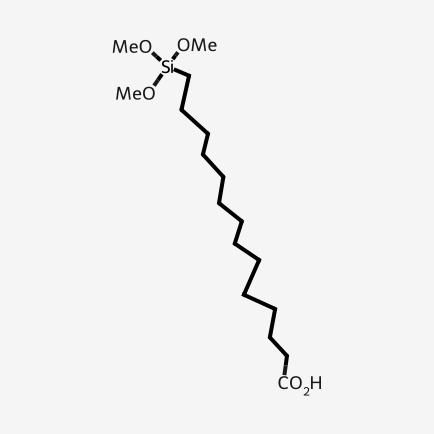 CO[Si](CCCCCCCCCCCCCC(=O)O)(OC)OC